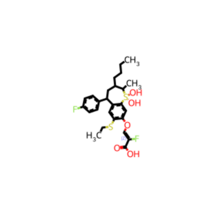 CCCCC1CC(c2ccc(F)cc2)c2cc(SCC)c(O/C=C(\F)C(=O)O)cc2S(O)(O)C1C